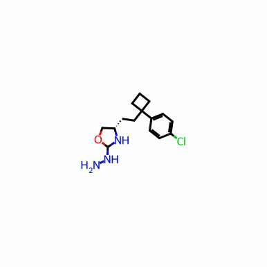 NNC1N[C@@H](CCC2(c3ccc(Cl)cc3)CCC2)CO1